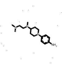 CN(C)CCN(C)C1CCN(c2ccc(N)cc2)CC1